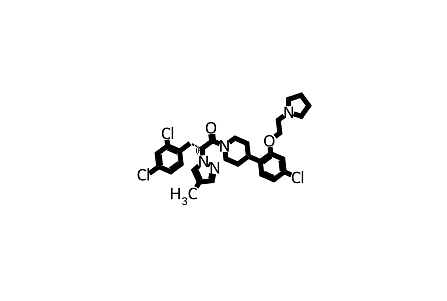 Cc1cnn([C@H](Cc2ccc(Cl)cc2Cl)C(=O)N2CCC(c3ccc(Cl)cc3OCCN3CCCC3)CC2)c1